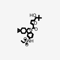 CCS(=O)(=O)Nc1ccc2c(c1)C1(CCC3(CC3)CC1)CN2C(=O)c1ccc([C@H](O)C(C)(C)C)o1